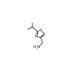 CN(C)c1nc(CN)cs1